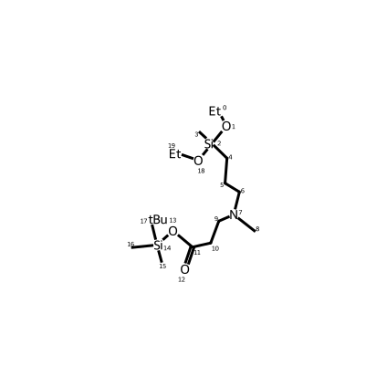 CCO[Si](C)(CCCN(C)CCC(=O)O[Si](C)(C)C(C)(C)C)OCC